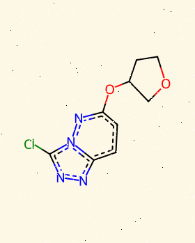 Clc1nnc2ccc(OC3CCOC3)nn12